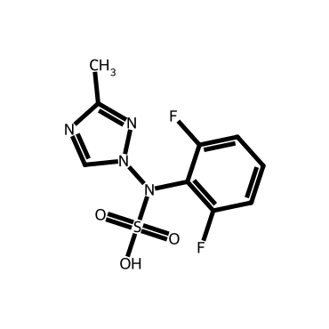 Cc1ncn(N(c2c(F)cccc2F)S(=O)(=O)O)n1